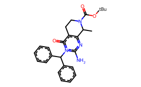 CC1c2nc(N)n(C(c3ccccc3)c3ccccc3)c(=O)c2CCN1C(=O)OC(C)(C)C